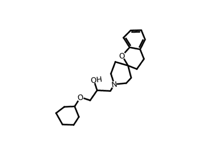 OC(COC1CCCCC1)CN1CCC2(CCc3ccccc3O2)CC1